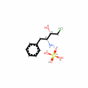 N[C@H](Cc1ccccc1)[C@H](O)CCl.O=S(=O)(O)O